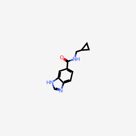 O=C(NCC1CC1)c1ccc2nc[nH]c2c1